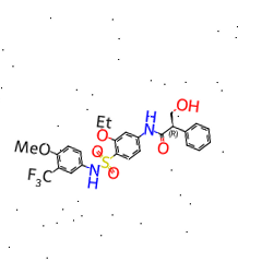 CCOc1cc(NC(=O)[C@@H](CO)c2ccccc2)ccc1S(=O)(=O)Nc1ccc(OC)c(C(F)(F)F)c1